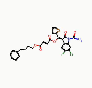 NC(=O)N1C(=O)/C(=C(/OC(=O)/C=C/C(=O)OCCCCc2ccccc2)c2cccs2)c2cc(F)c(Cl)cc21